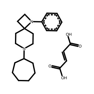 O=C(O)C=CC(=O)O.c1ccc(N2CCC23CCN(C2CCCCCC2)CC3)cc1